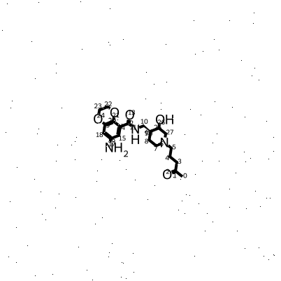 CC(=O)CCCN1CC[C@@H](CNC(=O)c2cc(N)cc3c2OCCO3)C(O)C1